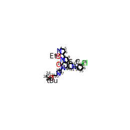 CCOc1ncccc1-c1ccc2c(n1)C(=O)N(C1CN(CCO[Si](C)(C)C(C)(C)C)C1)CC21CCN(c2cccc(Cl)c2C(F)(F)F)CC1